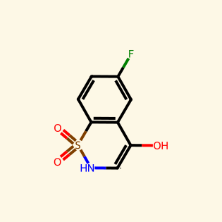 O=S1(=O)N[C]=C(O)c2cc(F)ccc21